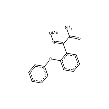 CON=C(C(N)=O)c1ccccc1Oc1ccccc1